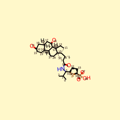 CC(C)C(NC(=O)C[C@@H](C)[C@H]1CC[C@H]2[C@@H]3C(=O)C[C@@H]4CC(=O)CC[C@]4(C)[C@H]3CC[C@]12C)c1ccc(S(=O)(=O)O)s1